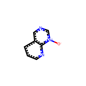 [O-][n+]1cncc2cccnc21